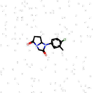 Cc1cc(N2C(=O)CN3C(=O)CCC32)ccc1Cl